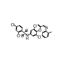 C=C(/C=N\c1ccccc1C)Oc1c(Cl)cc(NS(=O)(=O)c2ccc(Cl)cc2Cl)cc1Cl